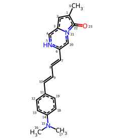 Cc1cc2c[nH]c(/C=C/C=C/c3ccc(N(C)C)cc3)cn-2c1=O